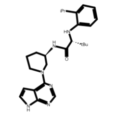 CC(C)c1ccccc1N[C@@H](C(=O)N[C@@H]1CCCN(c2ncnc3[nH]ccc23)C1)C(C)(C)C